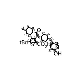 CC(C)(C)c1cc(N(C(=O)[C@H]2CC[C@H](C)CC2)[C@H]2CC[C@@H](Oc3ccc(O)nn3)CC2)c(C(=O)O)s1